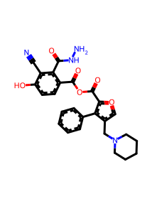 N#Cc1c(O)ccc(C(=O)OC(=O)c2occ(CN3CCCCC3)c2-c2ccccc2)c1C(=O)NN